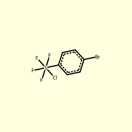 FS(F)(F)(F)(Cl)c1ccc(Br)cc1